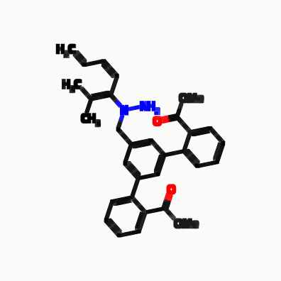 C=C/C=C\C(=C(C)C)N(N)Cc1cc(-c2ccccc2C(=O)OC)cc(-c2ccccc2C(=O)OC)c1